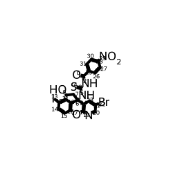 O=C(NC(=S)NC1(CCO)c2cc(I)ccc2Oc2ncc(Br)cc21)c1ccc([N+](=O)[O-])cc1